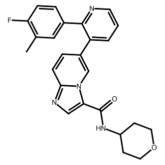 Cc1cc(-c2ncccc2-c2ccc3ncc(C(=O)NC4CCOCC4)n3c2)ccc1F